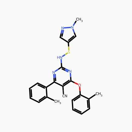 Cc1ccccc1Oc1nc(NSc2cnn(C)c2)nc(-c2ccccc2C)c1C#N